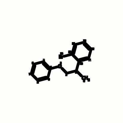 CC(COc1ccccc1)c1ccccc1Br